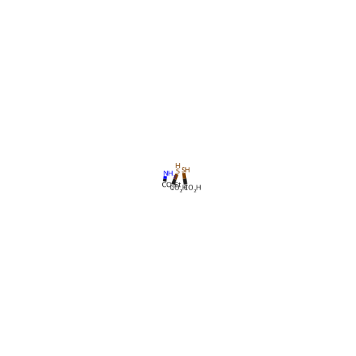 CCOC(N)=O.O=C(O)S.O=C(O)S